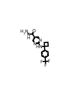 NNC(=O)c1cnc(NC2(c3ccc(C(F)(F)F)cc3)CCC2)nc1